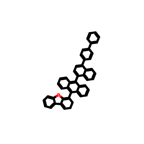 C1=c2c(oc3ccccc23)=C(c2c3ccccc3c(-c3ccc(-c4ccc(-c5ccccc5)cc4)c4ccccc34)c3ccccc23)CC1